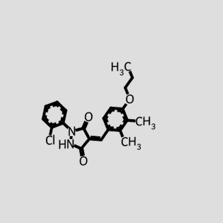 CCCOc1ccc(C=C2C(=O)NN(c3ccccc3Cl)C2=O)c(C)c1C